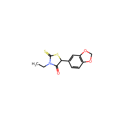 CCN1C(=O)C(c2ccc3c(c2)OCO3)SC1=S